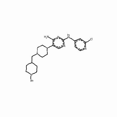 CC(C)N1CCC(CN2CCC(c3cnc(Nc4ccnc(Cl)c4)nc3N)CC2)CC1